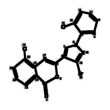 O=c1oc(-c2cn(-c3ncccc3Cl)nc2Br)nc2c(Cl)cccc12